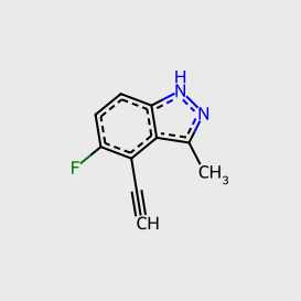 C#Cc1c(F)ccc2[nH]nc(C)c12